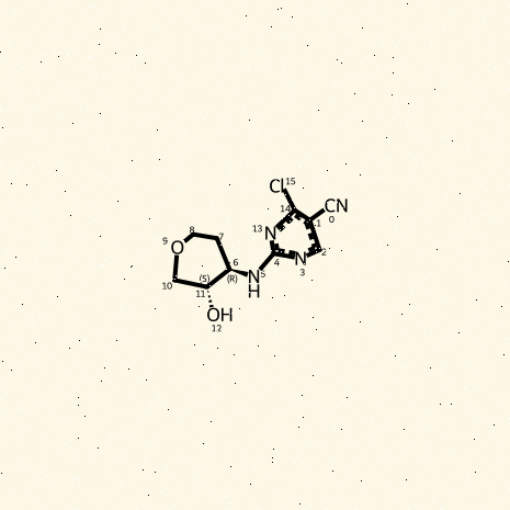 N#Cc1cnc(N[C@@H]2CCOC[C@H]2O)nc1Cl